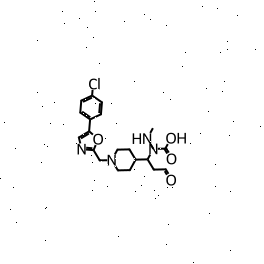 CNN(C(=O)O)C(CC=O)C1CCN(Cc2ncc(-c3ccc(Cl)cc3)o2)CC1